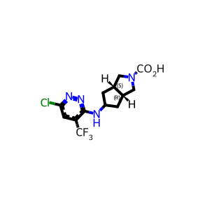 O=C(O)N1C[C@H]2CC(Nc3nnc(Cl)cc3C(F)(F)F)C[C@H]2C1